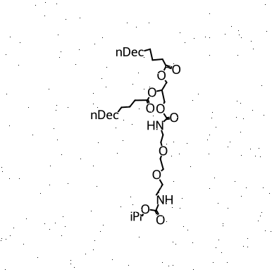 CCCCCCCCCCCCCC(=O)OCC(COC(=O)NCCOCCOCCNC(=O)OC(C)C)OC(=O)CCCCCCCCCCCCC